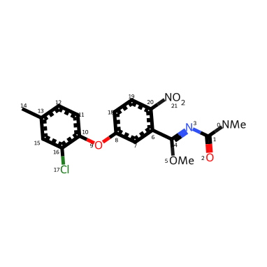 CNC(=O)N=C(OC)c1cc(Oc2ccc(C)cc2Cl)ccc1[N+](=O)[O-]